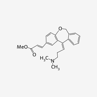 COC(=O)C=Cc1ccc2c(c1)C(=CCCN(C)C)c1ccccc1CO2